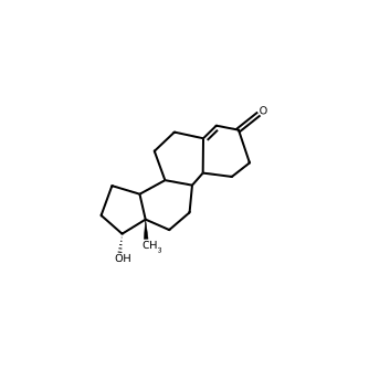 C[C@]12CCC3C4CCC(=O)C=C4CCC3C1CC[C@H]2O